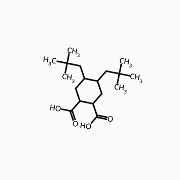 CC(C)(C)CC1CC(C(=O)O)C(C(=O)O)CC1CC(C)(C)C